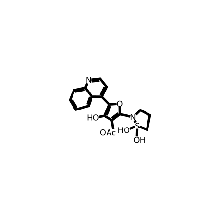 CC(=O)Oc1c(N2CCCS2(O)O)oc(-c2ccnc3ccccc23)c1O